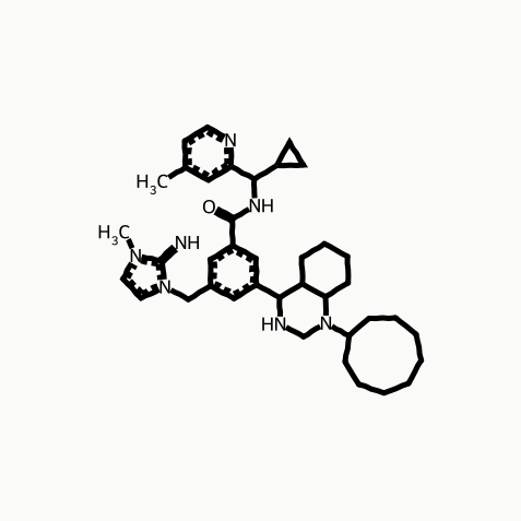 Cc1ccnc(C(NC(=O)c2cc(Cn3ccn(C)c3=N)cc(C3NCN(C4CCCCCCCC4)C4CCCCC34)c2)C2CC2)c1